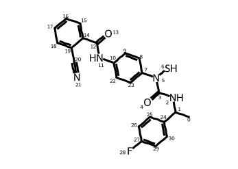 CC(NC(=O)N(S)c1ccc(NC(=O)c2ccccc2C#N)cc1)c1ccc(F)cc1